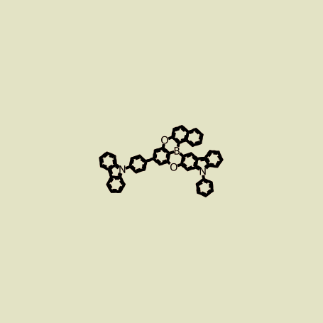 c1ccc(-n2c3ccccc3c3cc4c(cc32)Oc2cc(-c3ccc(-n5c6ccccc6c6ccccc65)cc3)cc3c2B4c2c(ccc4ccccc24)O3)cc1